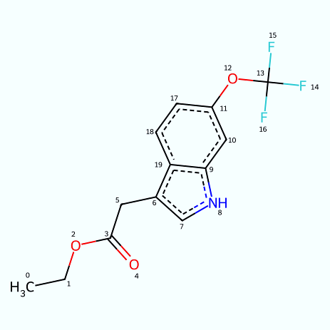 CCOC(=O)Cc1c[nH]c2cc(OC(F)(F)F)ccc12